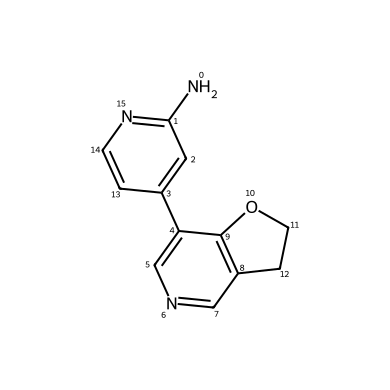 Nc1cc(-c2cncc3c2OCC3)ccn1